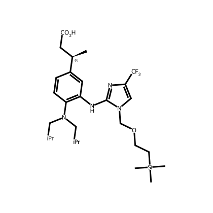 CC(C)CN(CC(C)C)c1ccc([C@H](C)CC(=O)O)cc1Nc1nc(C(F)(F)F)cn1COCC[Si](C)(C)C